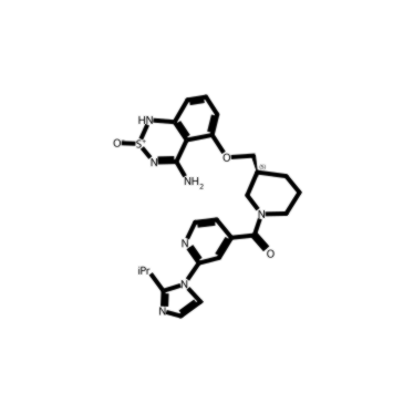 CC(C)c1nccn1-c1cc(C(=O)N2CCC[C@H](COc3cccc4c3C(N)=N[S+]([O-])N4)C2)ccn1